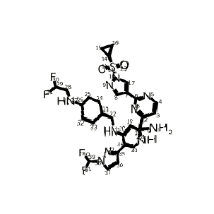 NC1(c2ccnc(-c3cnn(S(=O)(=O)C4CC4)c3)n2)C=C(NCC2CCC(NCC(F)F)CC2)C(c2ccn(C(F)F)n2)=CN1